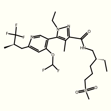 CC[C@H](CCCS(C)(=O)=O)CNC(=O)c1nn(CC)c(-c2cnc(C[C@@H](C)C(F)(F)F)cc2OC(F)F)c1C